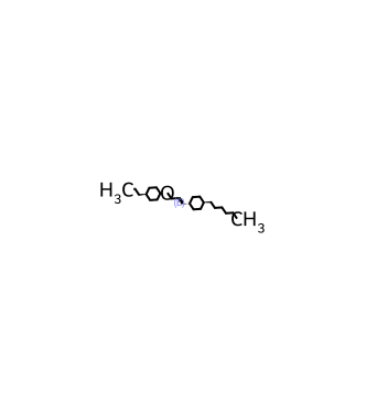 CCCCCC[C@H]1CC[C@H](/C=C/CO[C@H]2CC[C@H](CCC)CC2)CC1